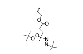 C=CCOC(=O)CCC(C)(/N=N/C(C)(C)C)OOC(C)(C)C